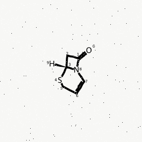 O=C1C[C@H]2SCC=CN12